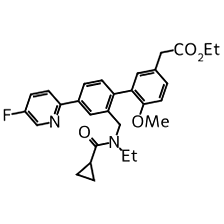 CCOC(=O)Cc1ccc(OC)c(-c2ccc(-c3ccc(F)cn3)cc2CN(CC)C(=O)C2CC2)c1